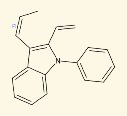 C=Cc1c(/C=C\C)c2ccccc2n1-c1ccccc1